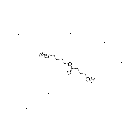 CCCCCCCCCCOC(=O)CCCO